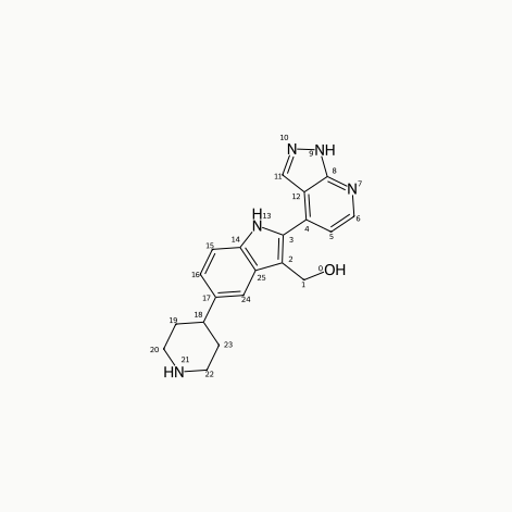 OCc1c(-c2ccnc3[nH]ncc23)[nH]c2ccc(C3CCNCC3)cc12